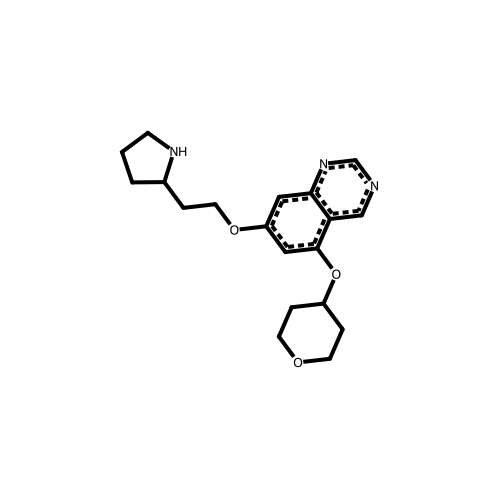 c1ncc2c(OC3CCOCC3)cc(OCCC3CCCN3)cc2n1